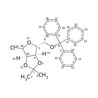 CC1(C)O[C@@H]2[C@@H](COC(c3ccccc3)(c3ccccc3)c3ccccc3)OC(Cl)[C@@H]2O1